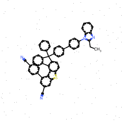 CCc1nc2ccccc2n1-c1ccc(-c2ccc(C3(c4ccccc4)c4ccccc4-c4c3ccc3sc5cc(C#N)cc(-c6ccc(C#N)cc6)c5c43)cc2)cc1